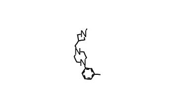 Cc1cccc(N2CCN(CC3CN(C)C3)CC2)c1